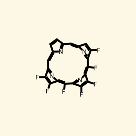 FC1=CC2=CC3=NC(=CC4=NC(=C(F)C5=NC(=C(F)C1=N2)C(F)=C5F)C(F)=C4F)C=C3